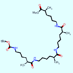 COC(=O)[C@@H](C)CCCCNC(=O)[C@@H](C)CCCCNC(=O)[C@@H](C)CCCCNC(=O)[C@@H](C)CCCCNC(=O)OC(C)(C)C